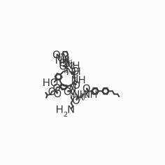 CCCCc1ccc(-c2ccc(C(=O)NC[C@@H](C)C(=O)N[C@@H](CCCCN)C(=O)N(C)C3C(=O)N[C@@H](C)C(=O)N[C@H](C(=O)N[C@@H](C)C(=O)N4CCC[C@H]4C(N)=O)Cc4ccc(O)c(c4)-c4cc3ccc4OC(=O)OCC(C)C)cc2)cc1